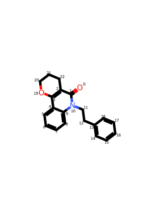 O=c1c2c(c3ccccc3n1CCc1ccccc1)OCCC2